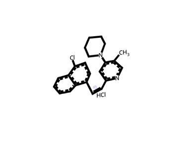 Cc1cnc(/C=C\c2ccc(Cl)c3ccccc23)cc1N1CCCCC1.Cl